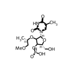 COC[C@H](C)OC1C(O[PH](=O)O)[C@@H](CO)O[C@H]1n1cc(C)c(=O)[nH]c1=O